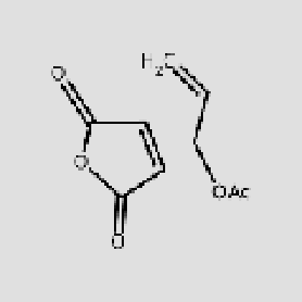 C=CCOC(C)=O.O=C1C=CC(=O)O1